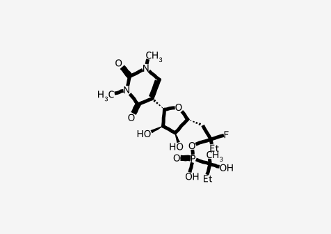 CCC(F)(C[C@H]1O[C@@H](c2cn(C)c(=O)n(C)c2=O)[C@H](O)[C@@H]1O)OP(=O)(O)C(C)(O)CC